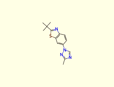 Cc1ncn(-c2ccc3nc(C(C)(C)C)sc3c2)n1